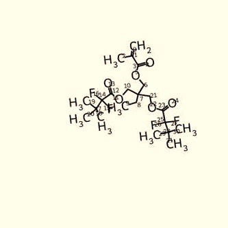 C=C(C)C(=O)OCC(CC)(COC(=O)C(F)(F)C(C)(C)C)COC(=O)C(F)(F)C(C)(C)C